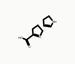 C1=CNCC1.O=C(O)C1=NCCC1